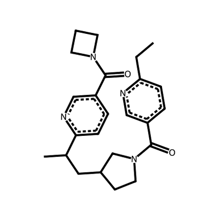 CCc1ccc(C(=O)N2CCC(CC(C)c3ccc(C(=O)N4CCC4)cn3)C2)cn1